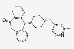 C/C=C\C1=C(C)C(=O)Cc2ccccc2C1=C1CCN(Cc2ccnc(C)c2)CC1